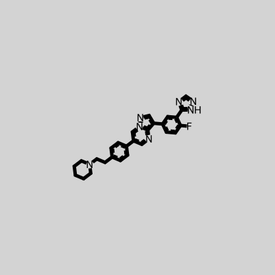 Fc1ccc(-c2cnn3cc(-c4ccc(CCN5CCCCC5)cc4)cnc23)cc1-c1ncn[nH]1